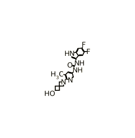 Cc1cc(NC(=O)Nc2c[nH]c3cc(F)c(F)cc23)cnc1N1CC2(CC(O)C2)C1